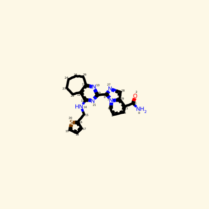 NC(=O)c1cccn2c(-c3nc4c(c(NCc5cccs5)n3)CCCCC4)ncc12